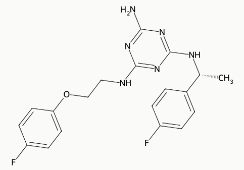 C[C@@H](Nc1nc(N)nc(NCCOc2ccc(F)cc2)n1)c1ccc(F)cc1